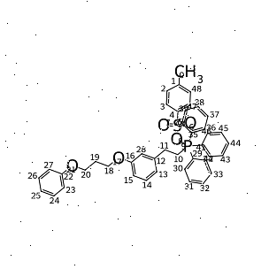 Cc1ccc(S(=O)(=O)OP(CCc2cccc(OCCCOc3ccccc3)c2)(c2ccccc2)(c2ccccc2)c2ccccc2)cc1